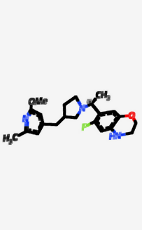 COc1cc(CC2CCN([C@@H](C)c3cc4c(cc3F)NCCO4)C2)cc(C)n1